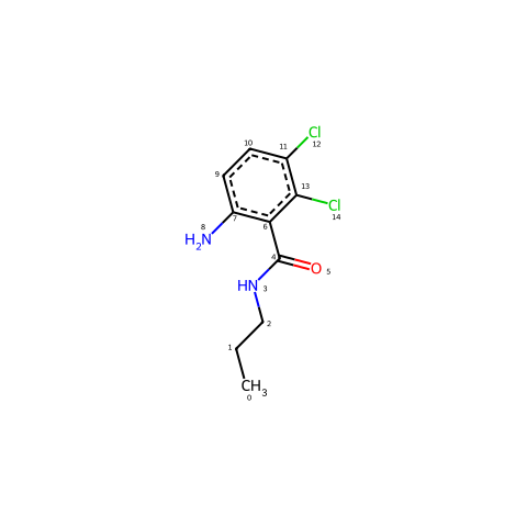 CCCNC(=O)c1c(N)ccc(Cl)c1Cl